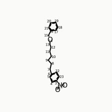 O=[N+]([O-])c1ccc(CCCCCCCOCc2ccccc2)cc1